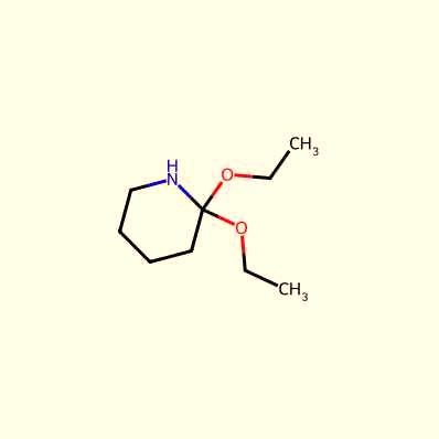 CCOC1(OCC)CCCCN1